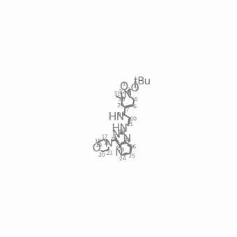 CC(C)(C)OC(=O)N1CC=C(C(=N)/C=C\Nc2nc(N3CCOCC3)c3ncccc3n2)CC1(C)C